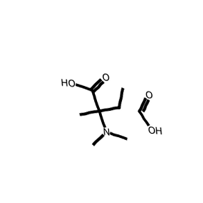 CCC(C)(C(=O)O)N(C)C.O=CO